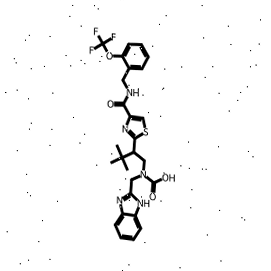 CC(C)(C)C(CN(Cc1nc2ccccc2[nH]1)C(=O)O)c1nc(C(=O)NCc2ccccc2OC(F)(F)F)cs1